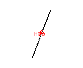 CCCCCCCCCCCCCCCCCCCC(O)C(=O)OCCCCCCCCCCCCCCCCCC